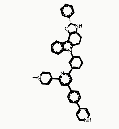 CN1C=CC(c2cc(-c3ccc(C4=CCNC=C4)cc3)cc(C3=CCCC(n4c5c(c6ccccc64)C4=C(CC5)N[C@@H](c5ccccc5)O4)=C3)n2)=CC1